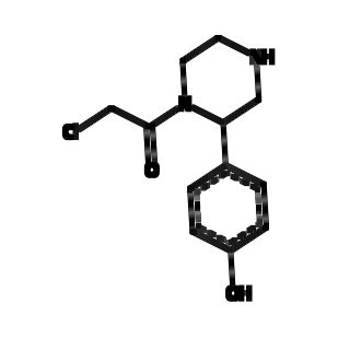 O=C(CCl)N1CCNCC1c1ccc(O)cc1